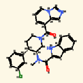 CN(C(=O)c1cc2ccccc2[nH]1)[C@@H]1CN(C(=O)c2cccn3cncc23)CC[C@H]1c1cccc(Cl)c1